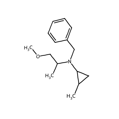 COCC(C)N(Cc1ccccc1)C1CC1C